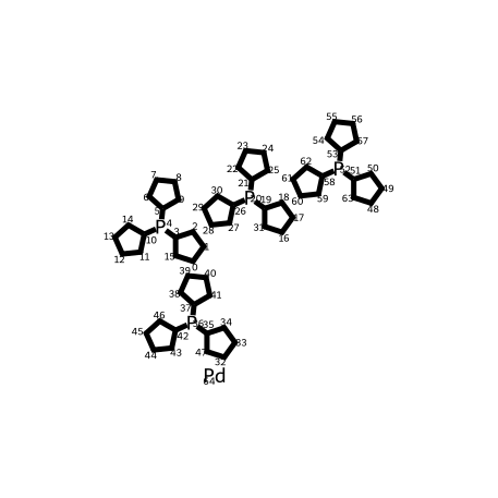 C1CCC(P(C2CCCC2)C2CCCC2)C1.C1CCC(P(C2CCCC2)C2CCCC2)C1.C1CCC(P(C2CCCC2)C2CCCC2)C1.C1CCC(P(C2CCCC2)C2CCCC2)C1.[Pd]